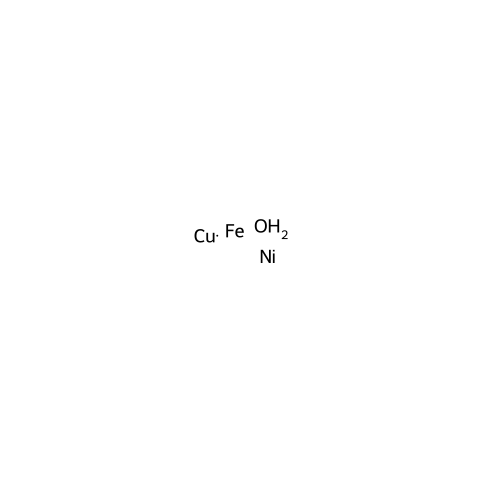 O.[Cu].[Fe].[Ni]